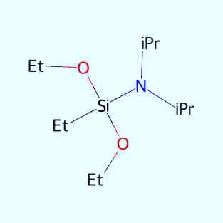 CCO[Si](CC)(OCC)N(C(C)C)C(C)C